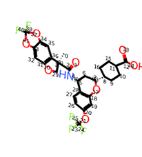 C[C@]1(C(=O)N[C@@H]2C[C@H](C3CCC(C(=O)O)CC3)Oc3cc(OC(F)(F)F)ccc32)COc2cc3c(cc21)OC(F)(F)O3